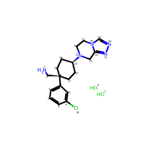 Cl.Cl.NC[C@]1(c2cccc(Cl)c2)CC[C@H](N2CCn3cnnc3C2)CC1